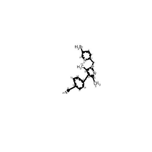 Bc1ccc(Cn2nc(C)c(-c3ccc(C#N)cc3)c2C)nc1